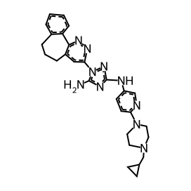 Nc1nc(Nc2ccc(N3CCN(CC4CC4)CC3)nc2)nn1-c1cc2c(nn1)-c1ccccc1CCC2